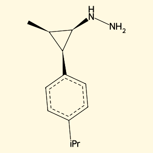 CC(C)c1ccc([C@H]2[C@@H](C)[C@H]2NN)cc1